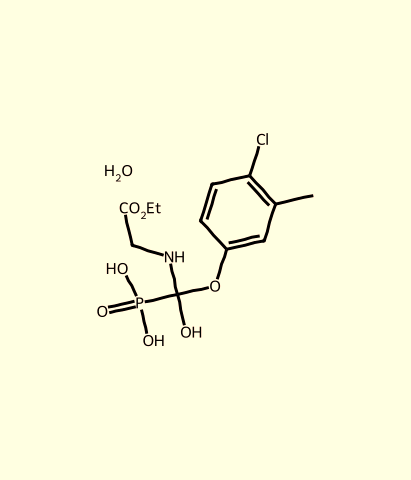 CCOC(=O)CNC(O)(Oc1ccc(Cl)c(C)c1)P(=O)(O)O.O